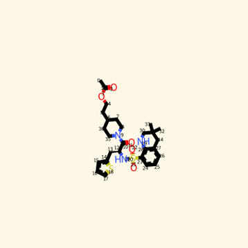 CC(=O)OCCC1CCN(C(=O)[C@H](Cc2cccs2)NS(=O)(=O)c2cccc3c2NCC(C)(C)C3)CC1